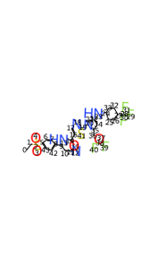 CCS(=O)(=O)c1ccc([C@H](CC#N)NC(=O)c2cnc(N3C[C@@H](NC4CCC(C(F)(F)F)CC4)C[C@H]3COC(F)F)s2)cc1